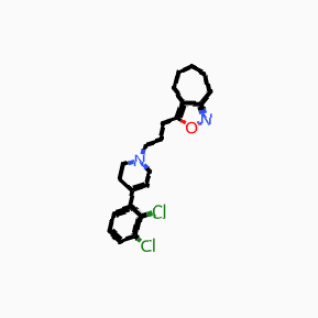 Clc1cccc(C2=CCN(CCCc3onc4c3CCCCC4)CC2)c1Cl